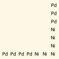 [Ni].[Ni].[Ni].[Ni].[Ni].[Ni].[Pd].[Pd].[Pd].[Pd].[Pd].[Pd].[Pd]